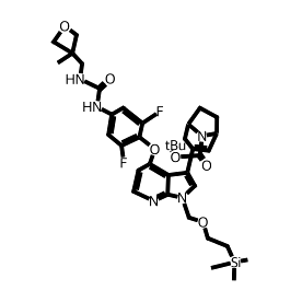 CC1(CNC(=O)Nc2cc(F)c(Oc3ccnc4c3c(C3=CC5CCC(C3)N5C(=O)OC(C)(C)C)cn4COCC[Si](C)(C)C)c(F)c2)COC1